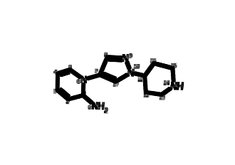 NC1C=CC=CN1c1cnn(C2CCNCC2)c1